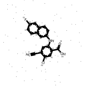 C#Cc1cc(Nc2ccc3cc(F)ccc3c2)c(C(=O)O)cc1Cl